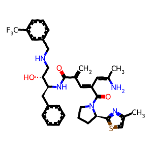 C=C(/C=C(\C=C(\C)N)C(=O)N1CCC[C@@H]1c1nc(C)cs1)C(=O)N[C@@H](Cc1ccccc1)[C@H](O)CNCc1cccc(C(F)(F)F)c1